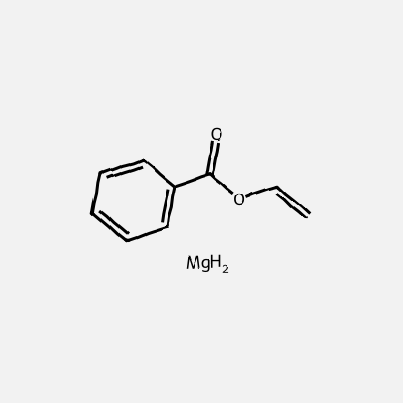 C=COC(=O)c1ccccc1.[MgH2]